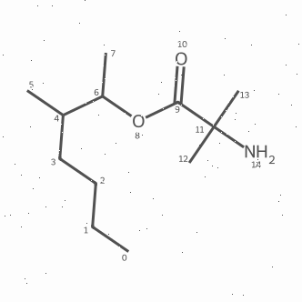 CCCCC(C)C(C)OC(=O)C(C)(C)N